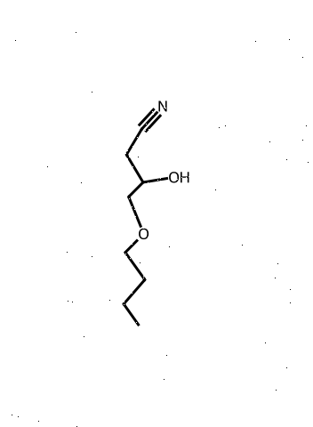 CCCCOCC(O)CC#N